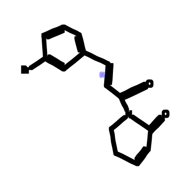 O=C1C=CCCN1C(=O)/C=C/c1cccc(Br)c1